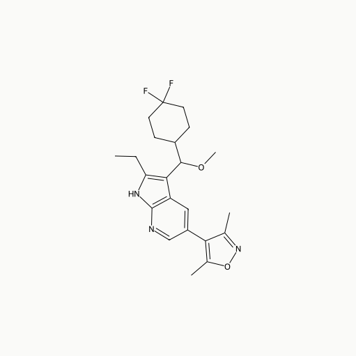 CCc1[nH]c2ncc(-c3c(C)noc3C)cc2c1C(OC)C1CCC(F)(F)CC1